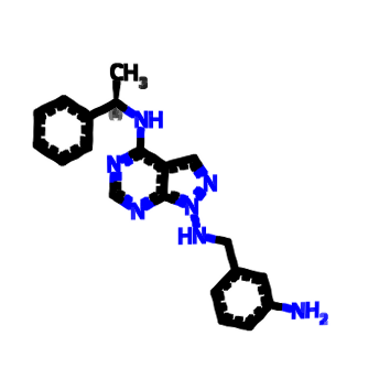 C[C@@H](Nc1ncnc2c1cnn2NCc1cccc(N)c1)c1ccccc1